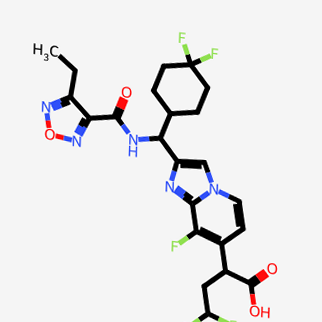 CCc1nonc1C(=O)NC(c1cn2ccc(C(CC(F)F)C(=O)O)c(F)c2n1)C1CCC(F)(F)CC1